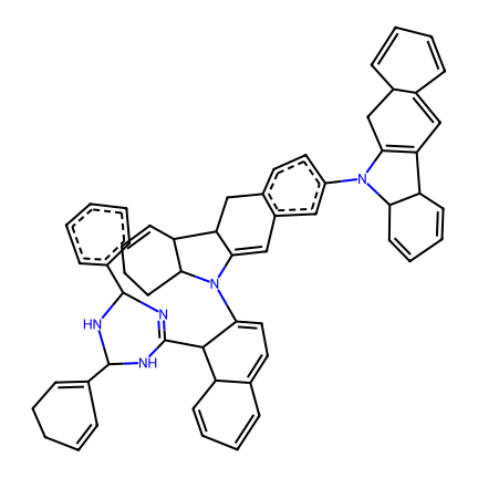 C1=CC2=CC3=C(CC2C=C1)N(c1ccc2c(c1)C=C1C(C2)C2C=CCCC2N1C1=CC=C2C=CC=CC2C1C1=NC(c2ccccc2)NC(C2=CCCC=C2)N1)C1C=CC=CC31